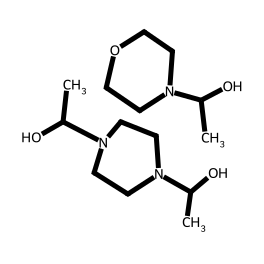 CC(O)N1CCN(C(C)O)CC1.CC(O)N1CCOCC1